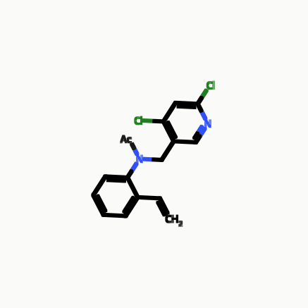 C=Cc1ccccc1N(Cc1cnc(Cl)cc1Cl)C(C)=O